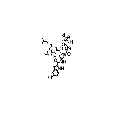 CC(C)CCCCC[C@H](NC(=O)OC(C)(C)C)C(=O)N1C[C@H](NC(=O)c2cc3cc(Cl)ccc3[nH]2)C[C@H]1C(=O)NC1(C(=O)NS(=O)(=O)C2CC2)CC1